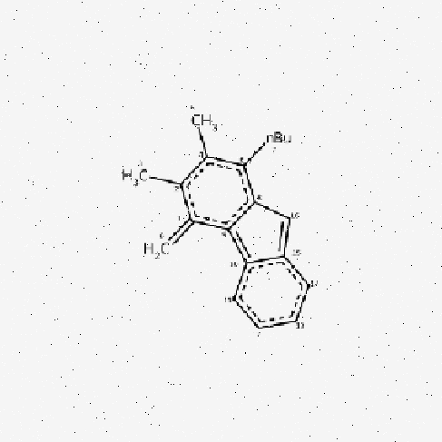 C=c1c(C)c(C)c(CCCC)c2c1=c1ccccc1=C2